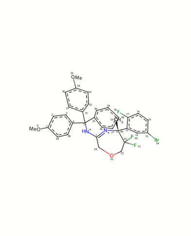 COc1ccc(C(NC2=N[C@](C)(c3cc(Br)ccc3F)C(F)(F)COC2)(c2ccccc2)c2ccc(OC)cc2)cc1